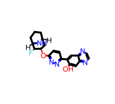 Oc1cc2nccnc2cc1-c1ccc(O[C@@H]2C[C@H]3CCC[C@H](N3)[C@@H]2F)nn1